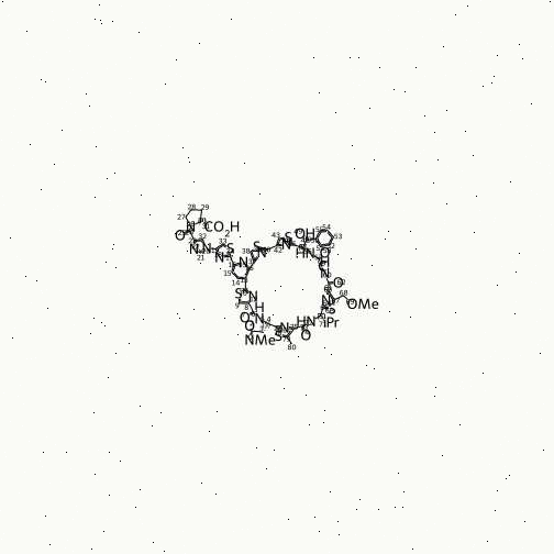 CNC(=O)C[C@@H]1NC(=O)c2csc(n2)-c2ccc(-c3nc(-n4cnc(C(=O)N5CCC[C@@H]5C(=O)O)c4)cs3)nc2-c2csc(n2)-c2csc(n2)[C@H]([C@@H](O)c2ccccc2)NC(=O)CNC(=O)c2nc(sc2COC)[C@H](C(C)C)NC(=O)c2nc1sc2C